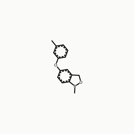 CB1OCc2cc(Oc3cccc(C)c3)ccc21